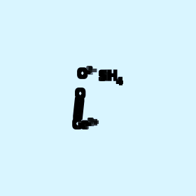 [O-2].[O]=[Ge+2].[SiH4]